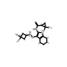 C=C(Nc1sc2c(c1SNC1CC(F)(F)C1)CCCC2)C1CC1(F)F